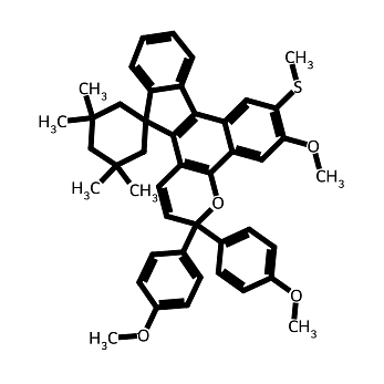 COc1ccc(C2(c3ccc(OC)cc3)C=Cc3c4c(c5cc(SC)c(OC)cc5c3O2)-c2ccccc2C42CC(C)(C)CC(C)(C)C2)cc1